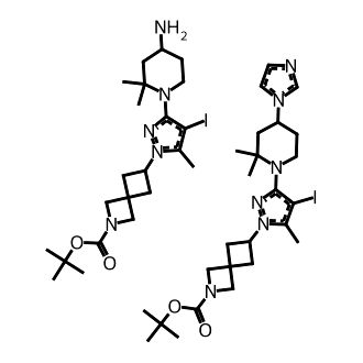 Cc1c(I)c(N2CCC(N)CC2(C)C)nn1C1CC2(C1)CN(C(=O)OC(C)(C)C)C2.Cc1c(I)c(N2CCC(n3ccnc3)CC2(C)C)nn1C1CC2(C1)CN(C(=O)OC(C)(C)C)C2